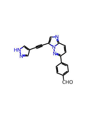 O=Cc1ccc(-c2ccc3ncc(C#Cc4cn[nH]c4)n3n2)cc1